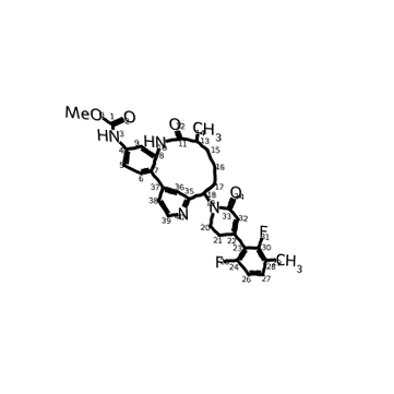 COC(=O)Nc1ccc2c(c1)NC(=O)C(C)CCCC(N1CCC(c3c(F)ccc(C)c3F)=CC1=O)c1cc-2ccn1